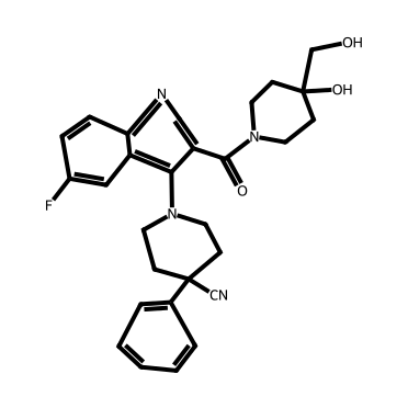 N#CC1(c2ccccc2)CCN(c2c(C(=O)N3CCC(O)(CO)CC3)cnc3ccc(F)cc23)CC1